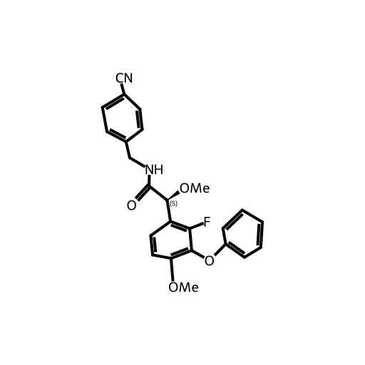 COc1ccc([C@H](OC)C(=O)NCc2ccc(C#N)cc2)c(F)c1Oc1ccccc1